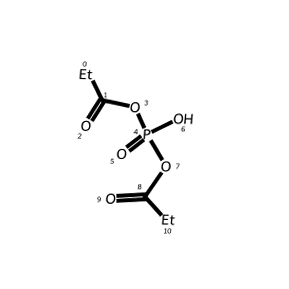 CCC(=O)OP(=O)(O)OC(=O)CC